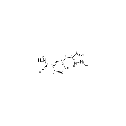 Cn1ccc(Cc2cc(C(N)=O)ccn2)n1